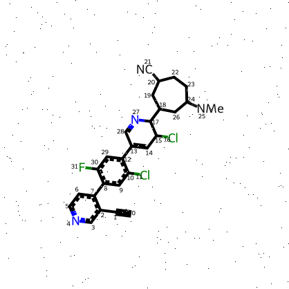 C#Cc1cnccc1-c1cc(Cl)c(C2=CC(Cl)C(C3CC(C#N)CCC(NC)C3)N=C2)cc1F